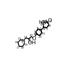 O=c1ccc(-c2ccc(OCC(O)CN3CCCCC3)cc2)n[nH]1